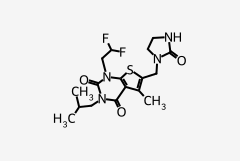 Cc1c(CN2CCNC2=O)sc2c1c(=O)n(CC(C)C)c(=O)n2CC(F)F